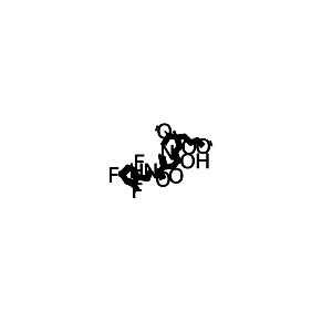 COCCC[C@]1(C)C(=O)c2c(O)c(=O)c(C(=O)NCc3c(F)cc(F)cc3F)cn2C[C@@H]1OC